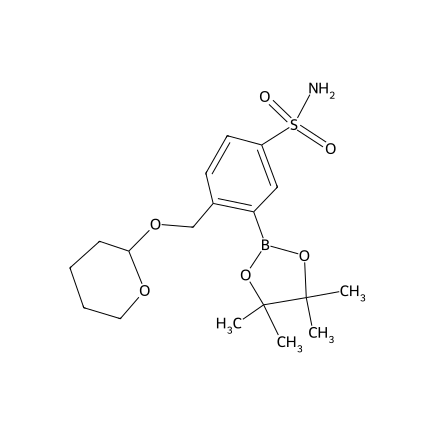 CC1(C)OB(c2cc(S(N)(=O)=O)ccc2COC2CCCCO2)OC1(C)C